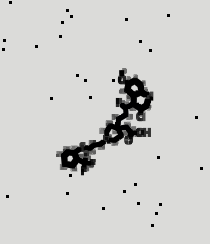 COc1ccc2ncc(Cl)c(C(F)CCC3(CC(=O)O)CCN(CCCSc4ccccc4C(F)(F)F)CC3)c2c1